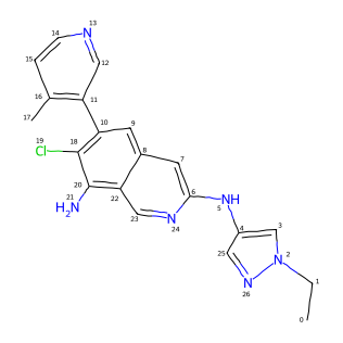 CCn1cc(Nc2cc3cc(-c4cnccc4C)c(Cl)c(N)c3cn2)cn1